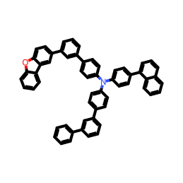 c1ccc(-c2cccc(-c3ccc(N(c4ccc(-c5cccc(-c6ccc7oc8ccccc8c7c6)c5)cc4)c4ccc(-c5cccc6ccccc56)cc4)cc3)c2)cc1